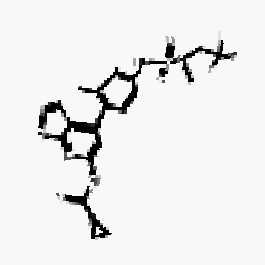 Cc1cc(NS(=O)(=O)N(C)CC(F)(F)F)ccc1-c1cc(NC(=O)C2CC2)nc2[nH]ccc12